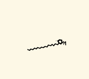 CCCCCCCCCCCCCCCCCCc1[c]ccc(N(C)C)c1